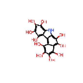 Oc1c(O)c(O)c2c([nH]c3c(O)c(O)c4c(O)c(O)c(O)c(O)c4c32)c1O